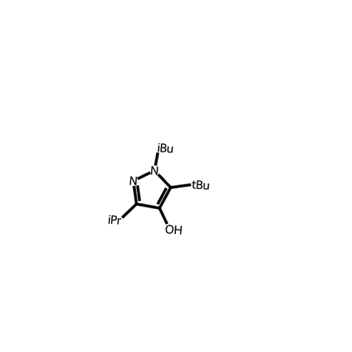 CCC(C)n1nc(C(C)C)c(O)c1C(C)(C)C